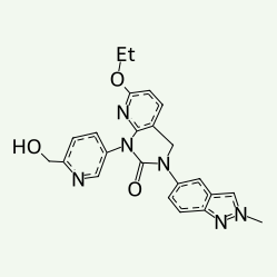 CCOc1ccc2c(n1)N(c1ccc(CO)nc1)C(=O)N(c1ccc3nn(C)cc3c1)C2